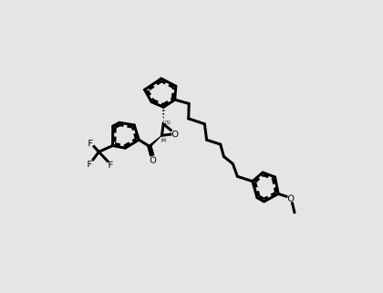 COc1ccc(CCCCCCCCc2ccccc2[C@@H]2O[C@H]2C(=O)c2cccc(C(F)(F)F)c2)cc1